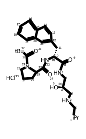 CC(C)CNC[C@@H](O)CNC(=O)[C@@H](Cc1ccc2ccccc2c1)NC(=O)C1CCCN1C(=O)C(C)(C)C.Cl